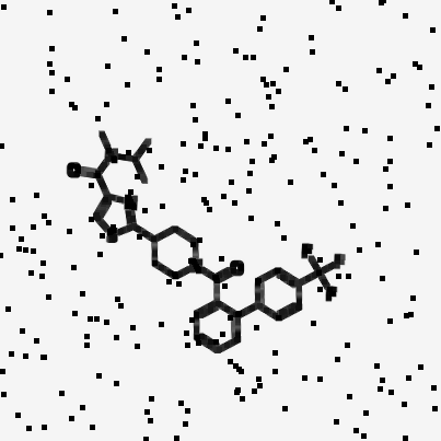 CC(C)N(C)C(=O)c1csc(C2CCN(C(=O)c3ccccc3-c3ccc(C(F)(F)F)cc3)CC2)n1